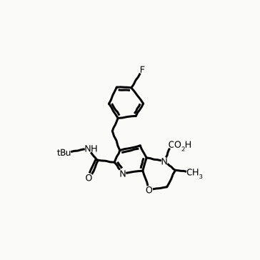 CC1COc2nc(C(=O)NC(C)(C)C)c(Cc3ccc(F)cc3)cc2N1C(=O)O